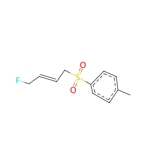 Cc1ccc(S(=O)(=O)CC=CCF)cc1